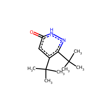 CC(C)(C)c1cc(=O)[nH]nc1C(C)(C)C